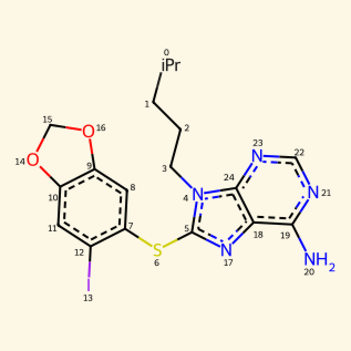 CC(C)CCCn1c(Sc2cc3c(cc2I)OCO3)nc2c(N)ncnc21